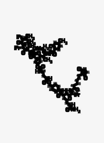 CC[C@H](C)[C@@H]([C@@H](CC(=O)N1C[C@@H](OC(=O)NCCNC(=O)OCc2ccc(NC(=O)[C@H](CCCNC(N)=O)CC(=O)[C@@H](NC(=O)CCCCCN3C(=O)C=CC3=O)C(C)C)cc2)C[C@H]1[C@H](OC)[C@@H](C)C(=O)NCC(=O)c1ccc(C)cc1C)OC)N(C)C(=O)[C@@H](NC(=O)[C@H](C(C)C)N(C)C)C(C)C